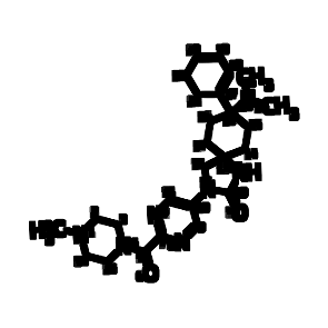 CN1CCN(C(=O)c2ncc(N3CC4(CCC(C5=CC=CCC5)(N(C)C)CC4)NC3=O)cn2)CC1